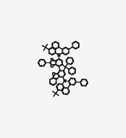 CC(C)(C)c1ccc(N(c2ccc(-c3ccccc3)cc2-c2ccccc2)c2cc3c(c4oc(-c5ccccc5)nc24)-c2c(cc(N(c4ccc(C(C)(C)C)cc4)c4ccc(-c5ccccc5)cc4-c4ccccc4)c4c2oc2ccccc24)C3(c2ccccc2)c2ccccc2)cc1